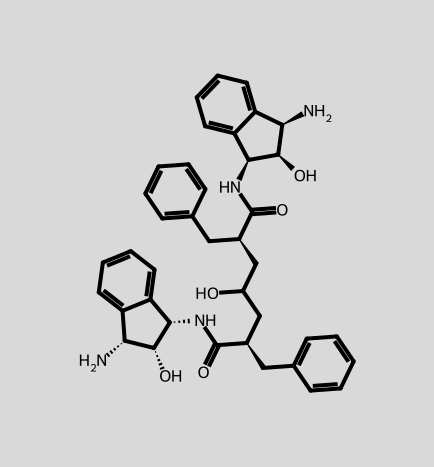 N[C@@H]1c2ccccc2[C@H](NC(=O)[C@H](Cc2ccccc2)CC(O)C[C@@H](Cc2ccccc2)C(=O)N[C@H]2c3ccccc3[C@@H](N)[C@H]2O)[C@@H]1O